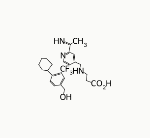 CC(=N)c1cc(CNCCC(=O)O)ccn1.OCc1ccc(C2CCCCC2)c(C(F)(F)F)c1